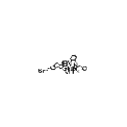 CC(C(=O)O)(C1=c2ccc3c(c2CCC1)CC=c1cc(CCBr)ccc1=3)C1Nc2ccccc2CN(C=Cc2ccccc2)C1=O